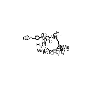 CO[C@H]1/C=C\C=C(/C)C(=O)NC2=CC(=O)C(NC(=O)c3ccc(CCN4CCOCC4)cc3)=C(C[C@@H](C)C[C@H](OC)[C@H](O)[C@@H](C)/C=C(\C)[C@@H]1OC(N)=O)C2=O